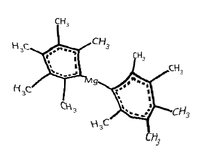 Cc1c(C)c(C)[c]([Mg][c]2c(C)c(C)c(C)c(C)c2C)c(C)c1C